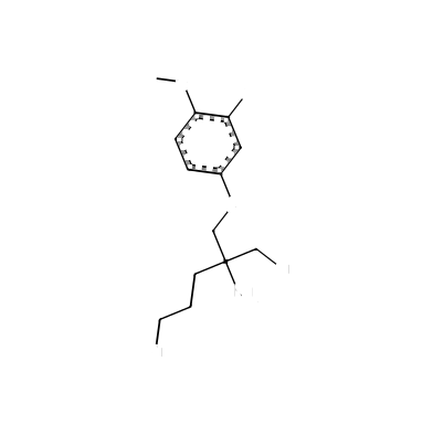 CCCCC(N)(CC)CSc1ccc(OC)c(O)c1